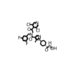 Cc1c(C(=O)N(CC(=O)c2c(Cl)cncc2Cl)Cc2cc(F)cc(F)c2)cnn1[C@H]1CC[C@H](C(=O)NO)CC1